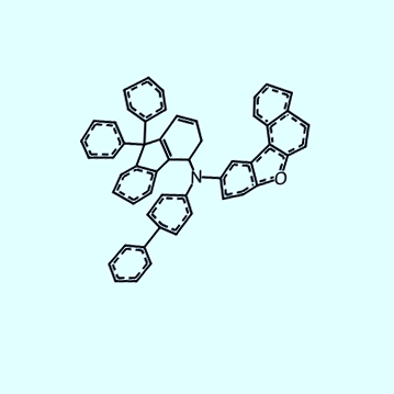 C1=CC2=C(c3ccccc3C2(c2ccccc2)c2ccccc2)C(N(c2ccc(-c3ccccc3)cc2)c2ccc3oc4ccc5ccccc5c4c3c2)C1